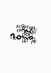 CC(=O)ONC(=N)c1csc([C@@H](NC(=O)[C@@H]2C[C@@H](OC(F)F)CN2C(=O)CNC(=O)c2ccc(Oc3ccccc3)cc2)C(N)=O)c1